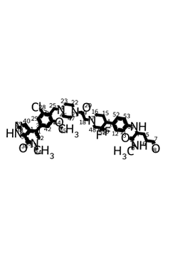 CNC(=O)C(CCC=O)Nc1ccc(C2CCN(CC(=O)N3CCN(Cc4c(Cl)cc(-c5cn(C)c(=O)c6[nH]ncc56)cc4OC)CC3)CC2(F)F)cc1